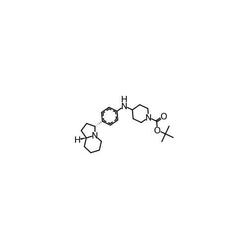 CC(C)(C)OC(=O)N1CCC(Nc2ccc([C@H]3CC[C@H]4CCCCN43)cc2)CC1